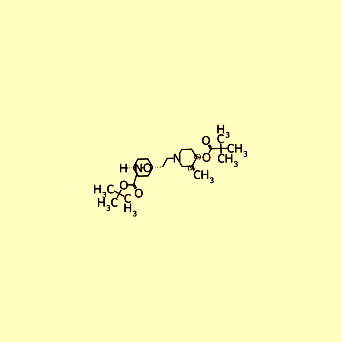 C[C@H]1CN(CC[C@]23CC[C@H](CC2)N(C(=O)OC(C)(C)C)O3)CC[C@@H]1OC(=O)C(C)(C)C